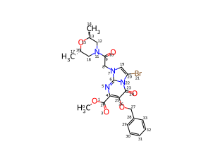 COC(=O)c1nc2n(CC(=O)N3C[C@H](C)O[C@@H](C)C3)cc(Br)n2c(=O)c1OCc1ccccc1